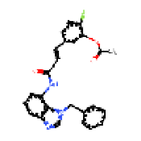 CC(=O)Oc1cc(C=CC(=O)Nc2cccc3ncn(Cc4ccccc4)c23)ccc1F